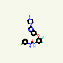 O=C(Nc1cccc(Cl)c1)Nc1cc(F)c(F)c(Oc2ccc3ncc(N4CCNCC4)nc3c2)c1